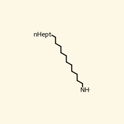 CCCCCCCCCCCCCCCCCC[NH]